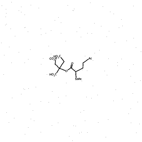 CNC(CCC(C)=O)C(=O)OC(CC(=O)O)(CC(=O)O)C(=O)O